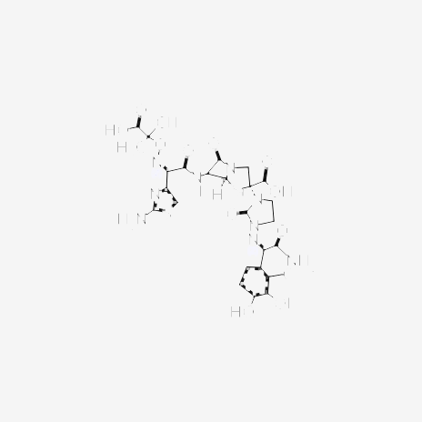 CC(C)(O/N=C(\C(=O)NC1C(=O)N2C[C@@](C(=O)O)(N3CCN(/N=C(\C(N)=O)c4ccc(O)c(O)c4Cl)C3=O)S[C@H]12)c1csc(N)n1)C(=O)O